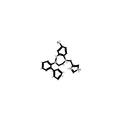 Brc1ccc2c(c1)SN(c1ccccc1-c1ccccc1)CCN2Cc1c[nH]cn1